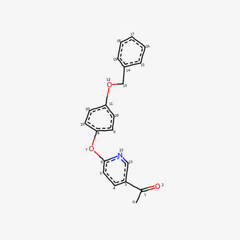 CC(=O)c1ccc(Oc2ccc(OCc3ccccc3)cc2)nc1